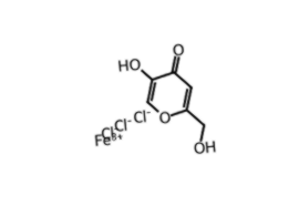 O=c1cc(CO)occ1O.[Cl-].[Cl-].[Cl-].[Fe+3]